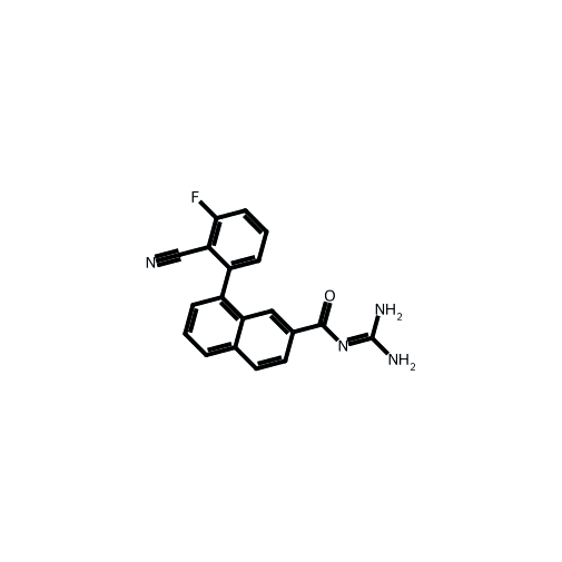 N#Cc1c(F)cccc1-c1cccc2ccc(C(=O)N=C(N)N)cc12